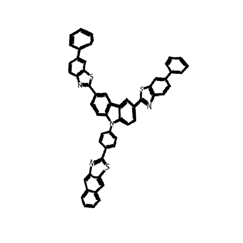 c1ccc(-c2ccc3nc(-c4ccc5c(c4)c4cc(-c6nc7ccc(-c8ccccc8)cc7s6)ccc4n5-c4ccc(-c5nc6cc7ccccc7cc6s5)cc4)sc3c2)cc1